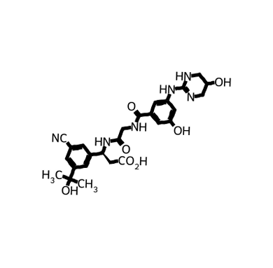 CC(C)(O)c1cc(C#N)cc([C@H](CC(=O)O)NC(=O)CNC(=O)c2cc(O)cc(NC3=NCC(O)CN3)c2)c1